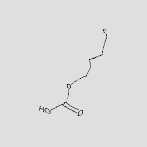 O=C(O)OCCCF